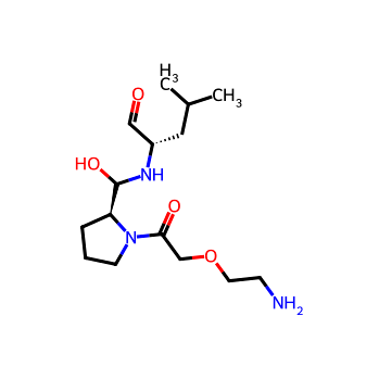 CC(C)C[C@@H](C=O)NC(O)[C@@H]1CCCN1C(=O)COCCN